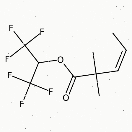 C/C=C\C(C)(C)C(=O)OC(C(F)(F)F)C(F)(F)F